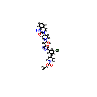 CC(C)COC(=O)N1CC=C(c2cc(Cl)cc(-c3nnc(CC(=O)N4CCC(N5CCc6ccccc6NC5=O)CC4)o3)c2)CC1